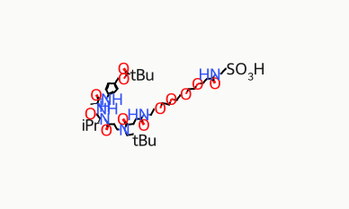 CC(C)[C@H](NC(=O)CCN(CCC(C)(C)C)C(=O)CCC(=O)NCCOCCOCCOCCOCCC(=O)NCCS(=O)(=O)O)C(=O)N[C@@H](C)C(=O)Nc1ccc(COC(=O)C(C)(C)C)cc1